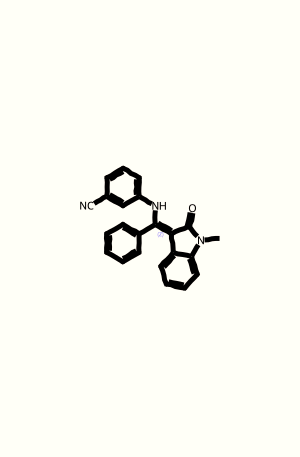 CN1C(=O)/C(=C(\Nc2cccc(C#N)c2)c2ccccc2)c2ccccc21